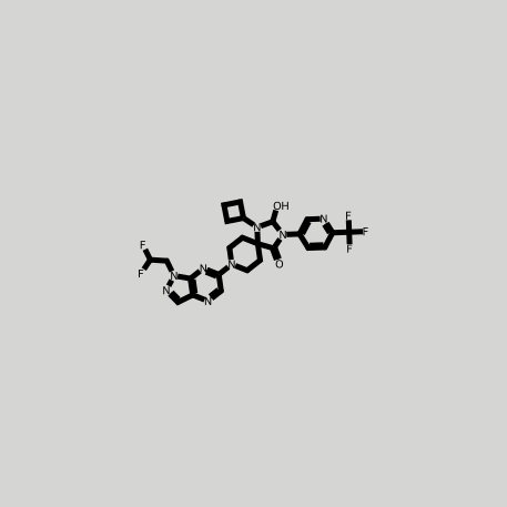 O=C1N(c2ccc(C(F)(F)F)nc2)C(O)N(C2CCC2)C12CCN(c1cnc3cnn(CC(F)F)c3n1)CC2